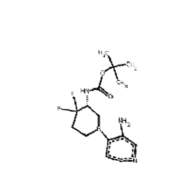 CC(C)(C)OC(=O)N[C@@H]1CN(c2ccncc2N)CCC1(F)F